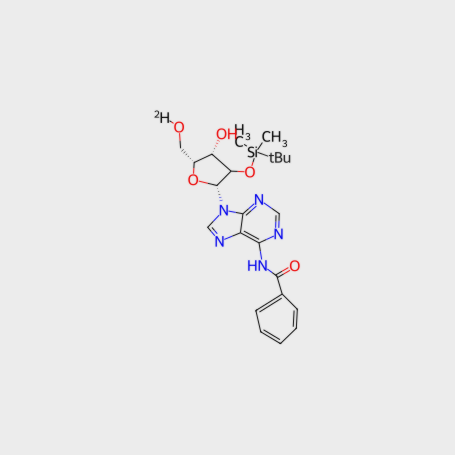 [2H]OC[C@H]1O[C@@H](n2cnc3c(NC(=O)c4ccccc4)ncnc32)C(O[Si](C)(C)C(C)(C)C)[C@H]1O